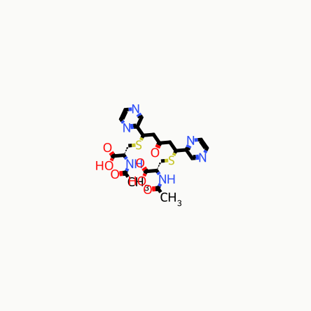 CC(=O)N[C@@H](CSC(CC(=O)CC(SC[C@H](NC(C)=O)C(=O)O)c1cnccn1)c1cnccn1)C(=O)O